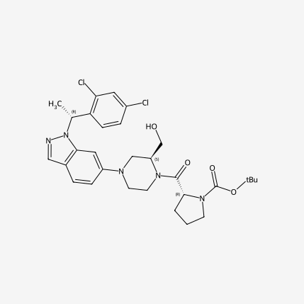 C[C@H](c1ccc(Cl)cc1Cl)n1ncc2ccc(N3CCN(C(=O)[C@H]4CCCN4C(=O)OC(C)(C)C)[C@H](CO)C3)cc21